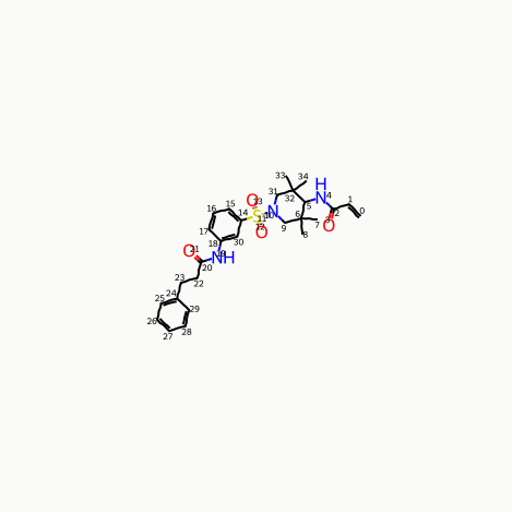 C=CC(=O)NC1C(C)(C)CN(S(=O)(=O)c2cccc(NC(=O)CCc3ccccc3)c2)CC1(C)C